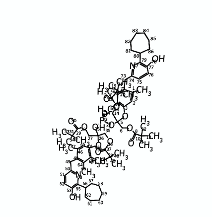 Cc1cc(OC(COC(=O)C(C)(C)C)(COC(=O)C(C)(C)C)O[PH](=O)OC(COC(=O)C(C)(C)C)(COC(=O)C(C)(C)C)Oc2cc(C)c(Cc3ccc(O)c(C4CCCCCC4)n3)c(C)c2C)c(C)c(C)c1Cc1ccc(O)c(C2CCCCCC2)n1